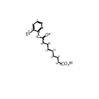 CCc1ccccc1OC(=O)CCCCCCCC(=O)O